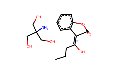 CCC/C(O)=C1/C(=O)Oc2ccccc21.NC(CO)(CO)CO